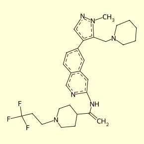 C=C(Nc1cc2cc(-c3cnn(C)c3CN3CCCCC3)ccc2cn1)C1CCN(CCC(F)(F)F)CC1